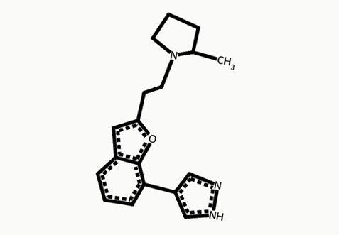 CC1CCCN1CCc1cc2cccc(-c3cn[nH]c3)c2o1